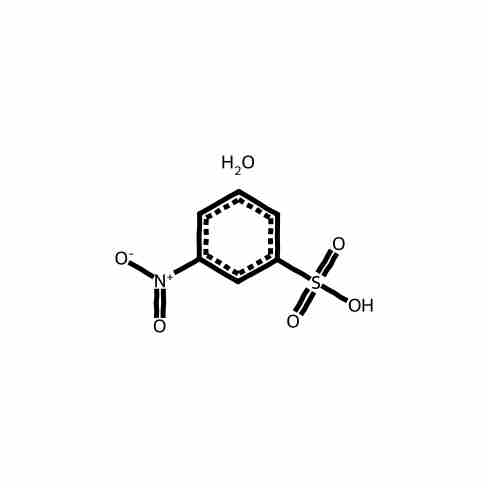 O.O=[N+]([O-])c1cccc(S(=O)(=O)O)c1